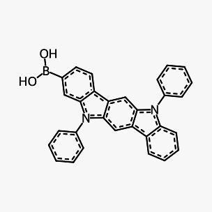 OB(O)c1ccc2c3cc4c(cc3n(-c3ccccc3)c2c1)c1ccccc1n4-c1ccccc1